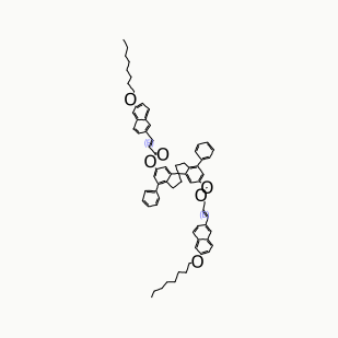 CCCCCCCCOc1ccc2cc(/C=C/COOc3cc(-c4ccccc4)c4c(c3)C3(CC4)CCc4c(-c5ccccc5)cc(OC(=O)/C=C/c5ccc6cc(OCCCCCCCC)ccc6c5)cc43)ccc2c1